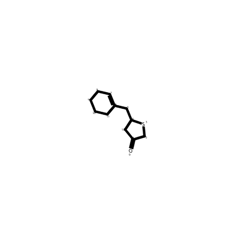 O=C1CSC(CC2=CCCCC2)C1